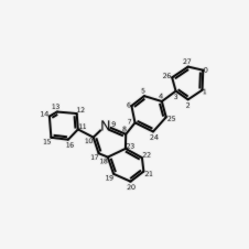 c1ccc(-c2ccc(-c3nc(-c4ccccc4)cc4ccccc34)cc2)cc1